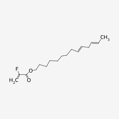 C=C(F)C(=O)OCCCCCCCCC=CCC=CC